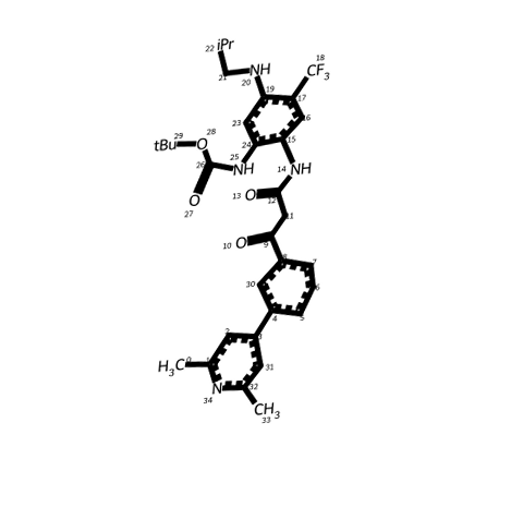 Cc1cc(-c2cccc(C(=O)CC(=O)Nc3cc(C(F)(F)F)c(NCC(C)C)cc3NC(=O)OC(C)(C)C)c2)cc(C)n1